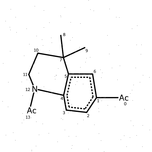 CC(=O)c1ccc2c(c1)C(C)(C)CCN2C(C)=O